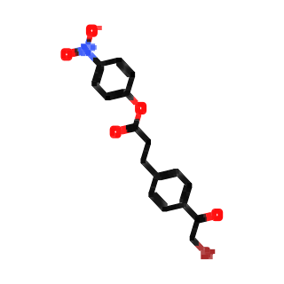 O=C(CCc1ccc(C(=O)CBr)cc1)Oc1ccc([N+](=O)[O-])cc1